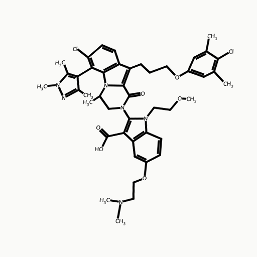 COCCn1c(N2CC(C)n3c(c(CCCOc4cc(C)c(Cl)c(C)c4)c4ccc(Cl)c(-c5c(C)nn(C)c5C)c43)C2=O)c(C(=O)O)c2cc(OCCN(C)C)ccc21